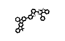 CC1(C)c2ccccc2-c2cc3c(cc21)-c1cc(-c2ccc4oc5c(-c6nc(-c7ccccc7)c7c(n6)sc6ccccc67)cccc5c4c2)ccc1C31CCCCC1